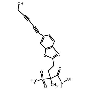 CC(CCc1nc2ccc(C#CC#CCO)cc2s1)(C(=O)NO)S(C)(=O)=O